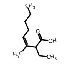 CCCCC=C(C)C(CC)C(=O)O